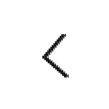 [KH].[KH].[KH].[KH].[KH].[KH].[KH].[KH].[KH].[KH].[KH].[KH].[KH].[KH].[KH].[KH].[KH].[KH].[KH].[KH].[KH].[KH].[KH].[KH].[KH]